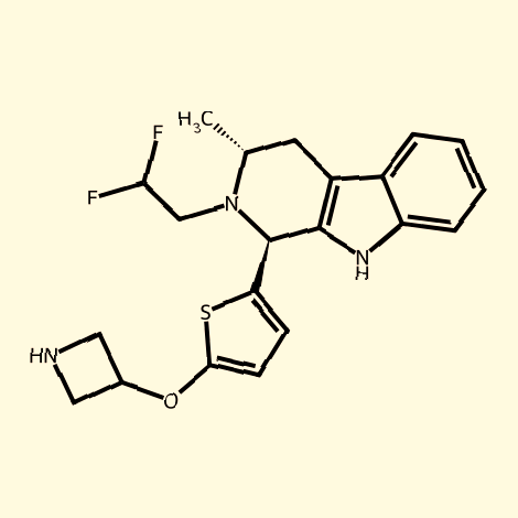 C[C@@H]1Cc2c([nH]c3ccccc23)[C@@H](c2ccc(OC3CNC3)s2)N1CC(F)F